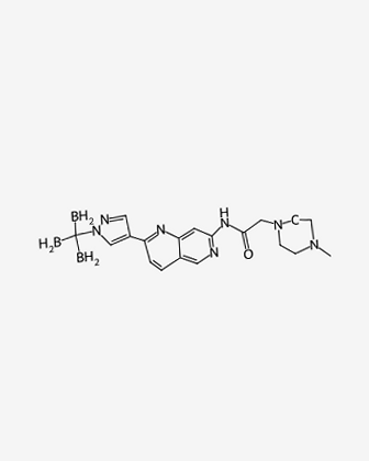 BC(B)(B)n1cc(-c2ccc3cnc(NC(=O)CN4CCN(C)CC4)cc3n2)cn1